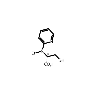 CCN(c1ccccn1)[C@H](CS)C(=O)O